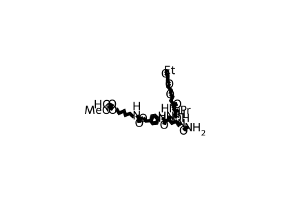 CCOCCOCCOCCC(=O)NC(C(C)C)C(O)NC(CCCNC(N)=O)C(=O)Nc1ccc(COC(=O)NCCCCCCOP(=O)(O)OC)cc1